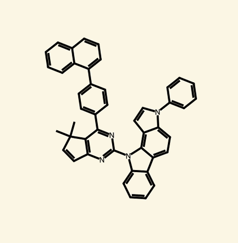 CC1(C)C=Cc2nc(-n3c4ccccc4c4ccc5c(ccn5-c5ccccc5)c43)nc(-c3ccc(-c4cccc5ccccc45)cc3)c21